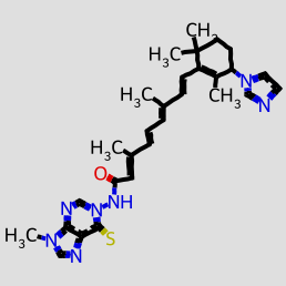 CC1=C(/C=C/C(C)=C/C=C/C(C)=C/C(=O)Nn2cnc3c(ncn3C)c2=S)C(C)(C)CCC1n1ccnc1